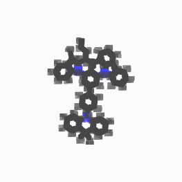 C=C/C=C1/B2c3c(cc(-c4ccc(N5c6ccccc6C(C)(C)c6ccccc65)cc4)cc3-n3c4ccccc4c4cccc2c43)-n2c1c(C)c1ccccc12